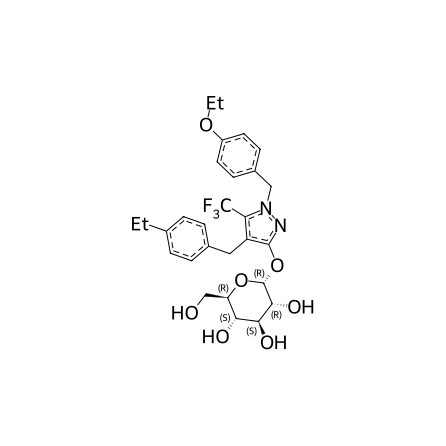 CCOc1ccc(Cn2nc(O[C@H]3O[C@H](CO)[C@@H](O)[C@H](O)[C@H]3O)c(Cc3ccc(CC)cc3)c2C(F)(F)F)cc1